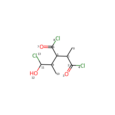 CC(C(=O)Cl)C(C(=O)Cl)C(C)C(O)Cl